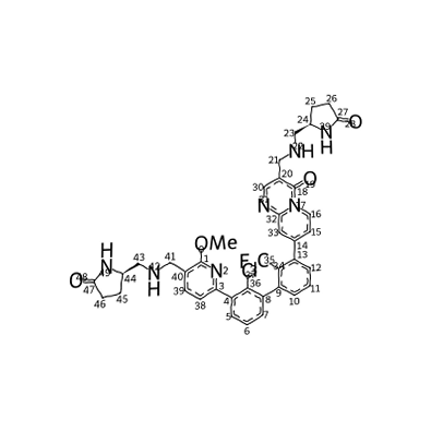 COc1nc(-c2cccc(-c3cccc(-c4ccn5c(=O)c(CNC[C@H]6CCC(=O)N6)cnc5c4)c3C(F)(F)F)c2Cl)ccc1CNC[C@H]1CCC(=O)N1